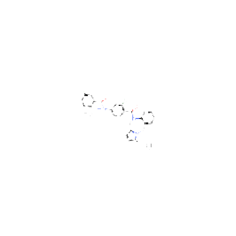 Cc1ccc(F)cc1C(=O)Nc1ccc(C(=O)N2Cc3ccc(C(=O)O)n3Cc3ccccc32)c(Cl)c1